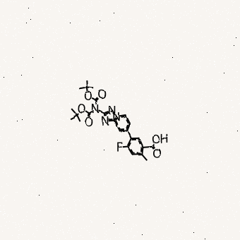 Cc1cc(F)c(-c2ccn3nc(N(C(=O)OC(C)(C)C)C(=O)OC(C)(C)C)nc3c2)cc1C(=O)O